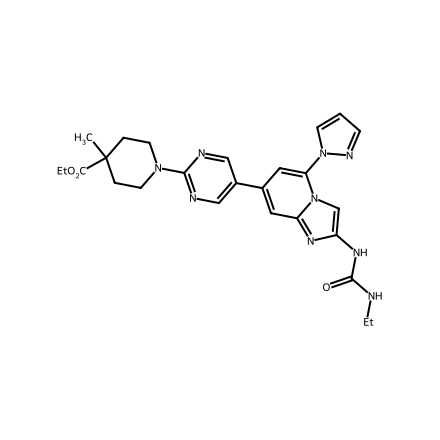 CCNC(=O)Nc1cn2c(-n3cccn3)cc(-c3cnc(N4CCC(C)(C(=O)OCC)CC4)nc3)cc2n1